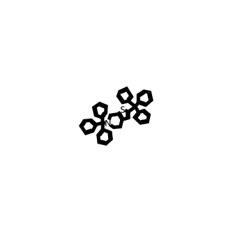 c1ccc(C(c2ccccc2)(c2ccccc2)c2cc3c(s2)CN(C(c2ccccc2)(c2ccccc2)c2ccccc2)CC3)cc1